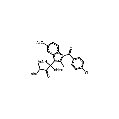 CCCCCCC(NC(C)=O)(C(=O)N(C)CCCC)c1c(C)n(C(=O)c2ccc(Cl)cc2)c2ccc(OC(C)=O)cc12